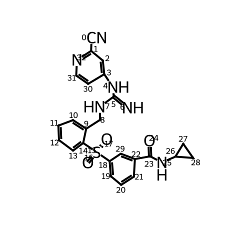 N#Cc1cc(NC(=N)NCc2ccccc2S(=O)(=O)c2cccc(C(=O)NC3CC3)c2)ccn1